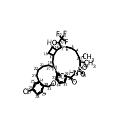 C[C@@H]1[C@@H](C)CCC[C@@H]([C@H](O)C(F)(F)F)C2CCC2CN2CCCCc3cc(Cl)ccc3COc3ccc(cc32)C(=O)NS1(=O)=O